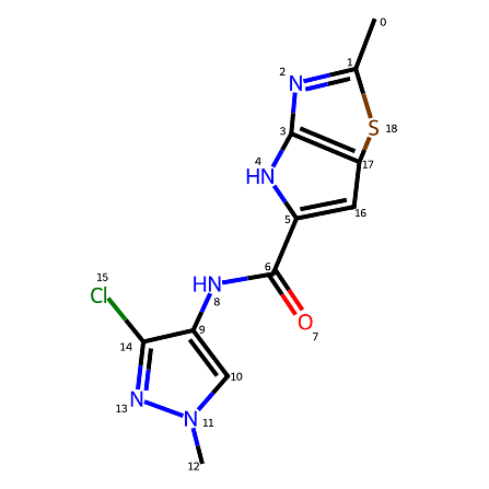 Cc1nc2[nH]c(C(=O)Nc3cn(C)nc3Cl)cc2s1